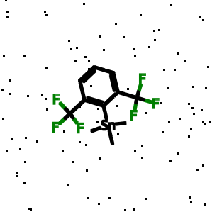 [CH3][Sn]([CH3])([CH3])[c]1c(C(F)(F)F)cccc1C(F)(F)F